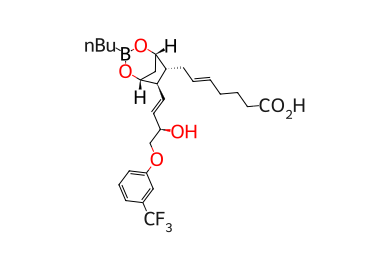 CCCCB1O[C@H]2C[C@@H](O1)[C@H](/C=C/[C@@H](O)COc1cccc(C(F)(F)F)c1)[C@H]2C/C=C/CCCC(=O)O